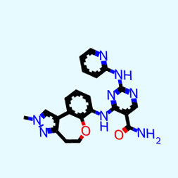 Cn1cc2c(n1)CCOc1c(Nc3nc(Nc4ccccn4)ncc3C(N)=O)cccc1-2